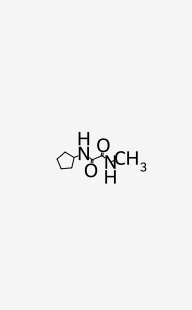 CNC(=O)C(=O)NC1CCCC1